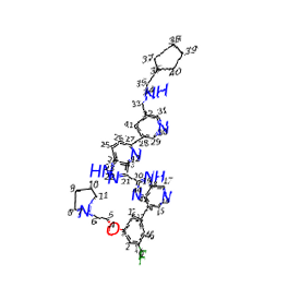 Fc1cc(OCCN2CCCC2)cc(-c2cncc3[nH]c(-c4n[nH]c5ccc(-c6cncc(CNCC7CCCC7)c6)nc45)nc23)c1